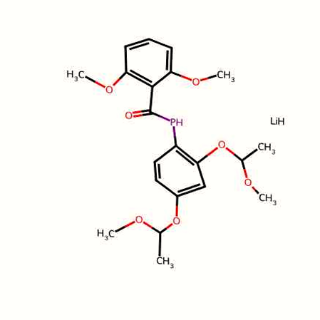 COc1cccc(OC)c1C(=O)Pc1ccc(OC(C)OC)cc1OC(C)OC.[LiH]